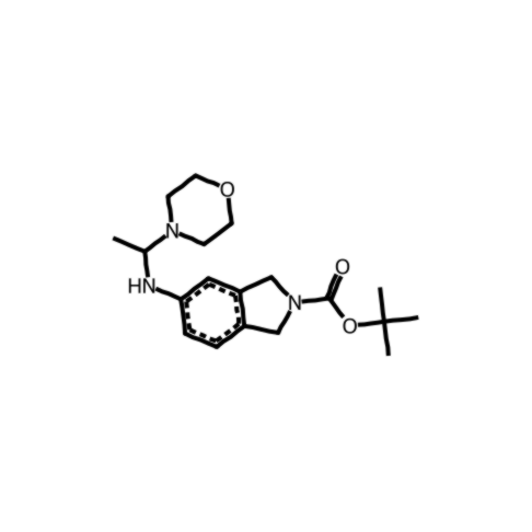 CC(Nc1ccc2c(c1)CN(C(=O)OC(C)(C)C)C2)N1CCOCC1